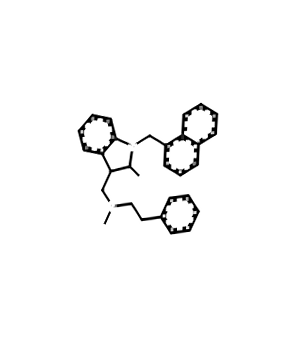 CN(CCc1ccccc1)CC1c2ccccc2N(Cc2cccc3ccccc23)C1C(=O)O